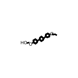 CCCOc1ccc(-c2ccc(-c3ccc(OCCO)cc3)cc2)cc1